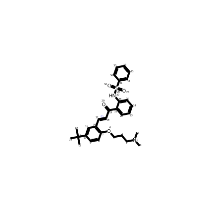 CN(C)CCCOc1ccc(C(C)(C)C)cc1/C=C/C(=O)c1ccccc1NS(=O)(=O)c1ccccc1